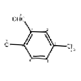 O=[C]c1cc(C(F)(F)F)ccc1Cl